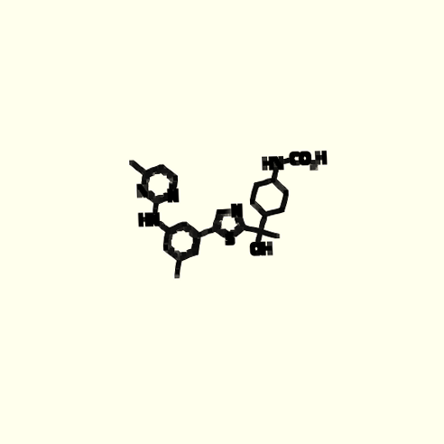 Cc1cc(Nc2nccc(C)n2)cc(-c2cnc(C(C)(O)C3CCC(NC(=O)O)CC3)s2)c1